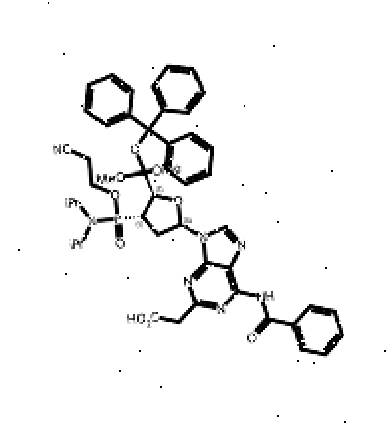 COC(OC)(OC(c1ccccc1)(c1ccccc1)c1ccccc1)[C@H]1O[C@@H](n2cnc3c(NC(=O)c4ccccc4)nc(CC(=O)O)nc32)C[C@@H]1P(=O)(OCCC#N)N(C(C)C)C(C)C